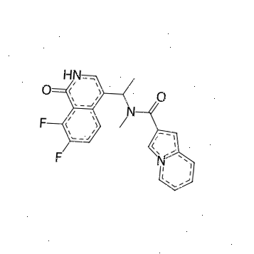 CC(c1c[nH]c(=O)c2c(F)c(F)ccc12)N(C)C(=O)c1cc2ccccn2c1